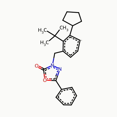 CC(C)(C)c1c(C2CCCC2)[c]ccc1Cn1nc(-c2ccccc2)oc1=O